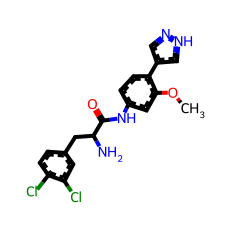 COc1cc(NC(=O)C(N)Cc2ccc(Cl)c(Cl)c2)ccc1-c1cn[nH]c1